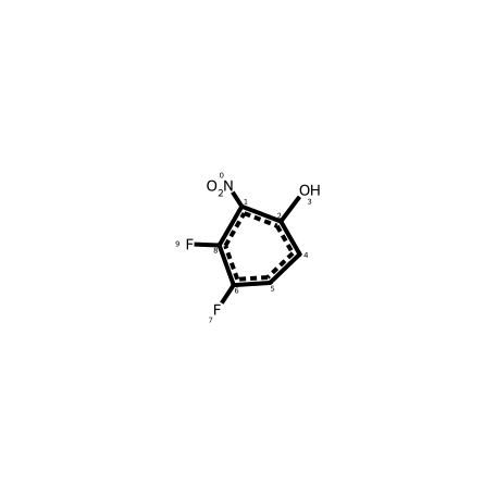 O=[N+]([O-])c1c(O)ccc(F)c1F